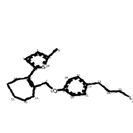 Cc1ccc(C2=C(COc3ccc(CCCC(=O)O)cc3)CCCCC2)s1